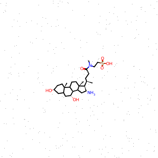 C[C@H](CCC(=O)N(C)CCS(=O)(=O)O)[C@H]1CCC2C3C(CC[C@@]21C)[C@@]1(C)CC[C@@H](O)CC1C[C@H]3O.N